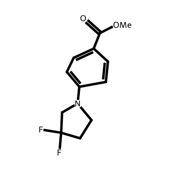 COC(=O)c1ccc(N2CCC(F)(F)C2)cc1